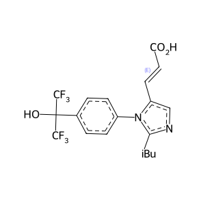 CCC(C)c1ncc(/C=C/C(=O)O)n1-c1ccc(C(O)(C(F)(F)F)C(F)(F)F)cc1